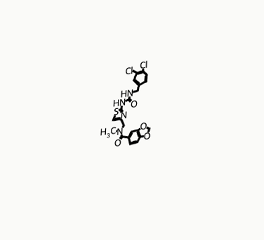 CN(Cc1csc(NC(=O)NCc2ccc(Cl)c(Cl)c2)n1)C(=O)c1ccc2c(c1)OCO2